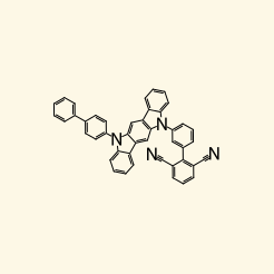 N#Cc1cccc(C#N)c1-c1cccc(-n2c3ccccc3c3cc4c(cc32)c2ccccc2n4-c2ccc(-c3ccccc3)cc2)c1